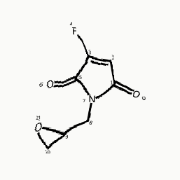 O=C1C=C(F)C(=O)N1CC1CO1